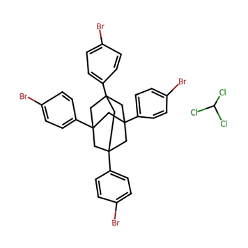 Brc1ccc(C23CC4(c5ccc(Br)cc5)CC(c5ccc(Br)cc5)(C2)CC(c2ccc(Br)cc2)(C3)C4)cc1.ClC(Cl)Cl